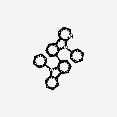 c1ccc(-n2c3ccccc3c3cccc(-c4cccc5c6cccnc6n(-c6ccccc6)c45)c32)cc1